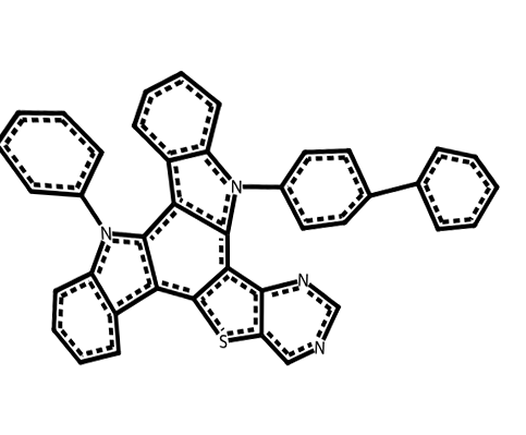 c1ccc(-c2ccc(-n3c4ccccc4c4c5c(c6ccccc6n5-c5ccccc5)c5sc6cncnc6c5c43)cc2)cc1